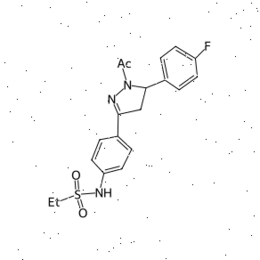 CCS(=O)(=O)Nc1ccc(C2=NN(C(C)=O)C(c3ccc(F)cc3)C2)cc1